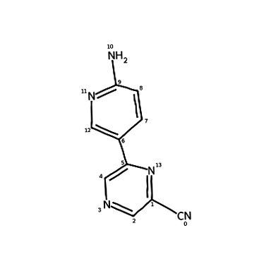 N#Cc1cncc(-c2ccc(N)nc2)n1